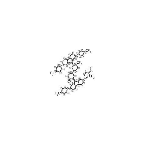 C=C(/C=C\C(=C/C)C(F)(F)F)c1ccc2c3ccc(-c4ccc(C(F)(F)F)cc4)cc3n(-c3cc(-c4ccc(C(F)(F)F)c(-n5c6cc(-c7ccc(C(F)(F)F)cc7)ccc6c6ccc(-c7ccc(C(F)(F)F)cc7)cc65)c4)ccc3C(F)(F)F)c2c1